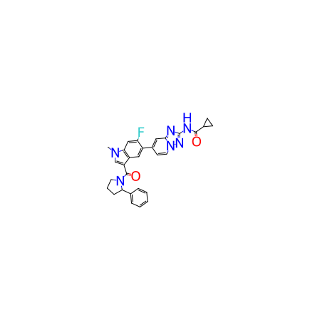 Cn1cc(C(=O)N2CCCC2c2ccccc2)c2cc(-c3ccn4nc(NC(=O)C5CC5)nc4c3)c(F)cc21